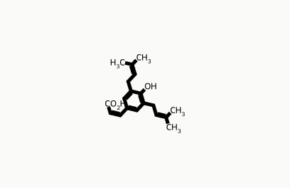 CC(C)=CCc1cc(/C=C\C(=O)O)cc(CC=C(C)C)c1O